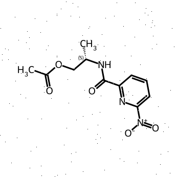 CC(=O)OC[C@H](C)NC(=O)c1cccc([N+](=O)[O-])n1